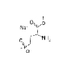 COC(=O)C(N)CCP(C)(=O)[O-].[Na+]